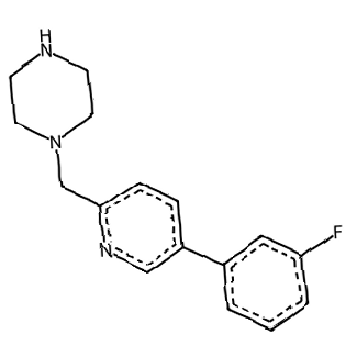 Fc1cccc(-c2ccc(CN3CCNCC3)nc2)c1